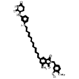 CCOc1cc(CN2C(=O)c3cc(CCCCCCCCCCCCNc4cccc(NC5CCC(=O)NC5=O)c4)cc(N)c3C2=O)ccc1OC